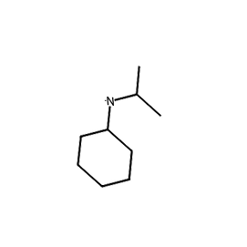 CC(C)[N]C1CCCCC1